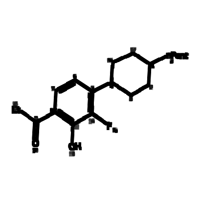 CCCCCC1CCC(c2ccc(C(=O)CC)c(O)c2F)CC1